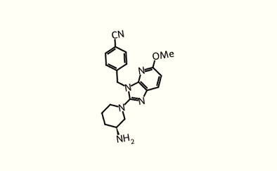 COc1ccc2nc(N3CCC[C@H](N)C3)n(Cc3ccc(C#N)cc3)c2n1